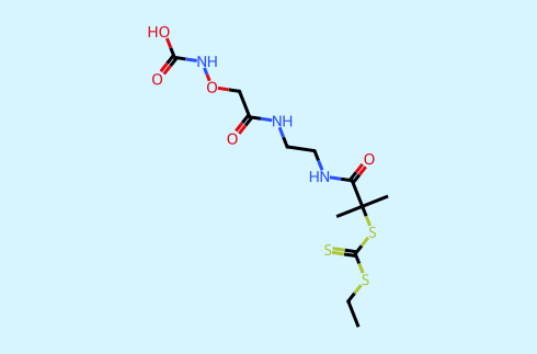 CCSC(=S)SC(C)(C)C(=O)NCCNC(=O)CONC(=O)O